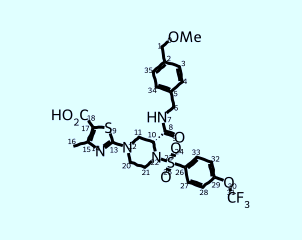 COCc1ccc(CNC(=O)[C@H]2CN(c3nc(C)c(C(=O)O)s3)CCN2S(=O)(=O)c2ccc(OC(F)(F)F)cc2)cc1